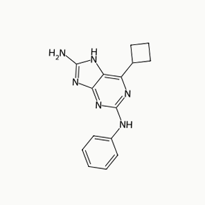 Nc1nc2nc(Nc3ccccc3)nc(C3CCC3)c2[nH]1